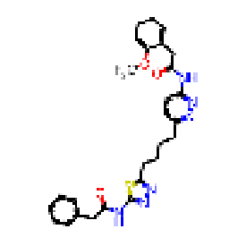 O=C(CC1=CCCC=C1OC(F)(F)F)Nc1ccc(CCCCc2nnc(NC(=O)Cc3ccccc3)s2)nn1